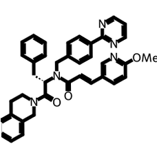 COc1ccc(/C=C/C(=O)N(Cc2ccc(-c3ncccn3)cc2)[C@@H](Cc2ccccc2)C(=O)N2CCc3ccccc3C2)cn1